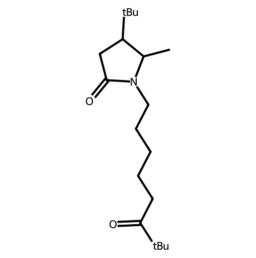 CC1C(C(C)(C)C)CC(=O)N1CCCCCC(=O)C(C)(C)C